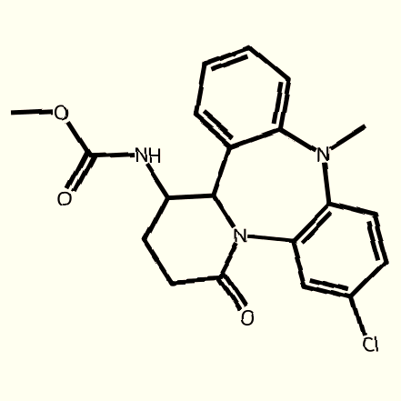 COC(=O)NC1CCC(=O)N2c3cc(Cl)ccc3N(C)c3ccccc3C12